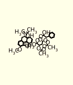 CCN(C)[C@@H]1Cc2ccc(OC)c3c2[C@@]2(C)[C@@H](O3)C(OC(=O)[C@H](OC(C)=O)[C@@H](OC(C)=O)C(=O)O[C@H](C(=O)O)c3ccccc3)=CC[C@@]12O